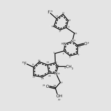 Cc1c(Cc2ccc(=O)n(Cc3ccc(F)cc3)n2)c2cc(F)ccc2n1CC(=O)O